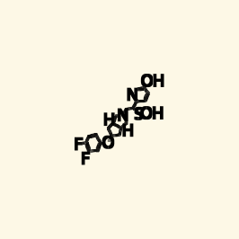 OSC(CN1C[C@H]2C[C@H](Oc3ccc(F)c(F)c3)C[C@H]2C1)c1ccc(O)cn1